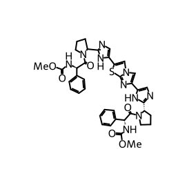 COC(=O)N[C@@H](C(=O)N1CCCC1c1ncc(-c2cn3cc(-c4cnc([C@@H]5CCCN5C(=O)[C@H](NC(=O)OC)c5ccccc5)[nH]4)nc3s2)[nH]1)c1ccccc1